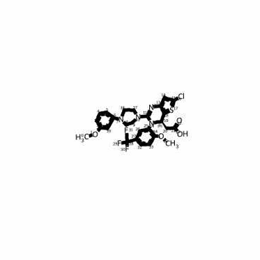 COc1cccc(N2CCN(C3=Nc4cc(Cl)sc4[C@@H](CC(=O)O)N3c3cc(C(F)(F)F)ccc3OC)CC2)c1